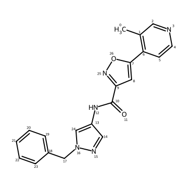 Cc1cnccc1-c1cc(C(=O)Nc2cnn(Cc3ccccc3)c2)no1